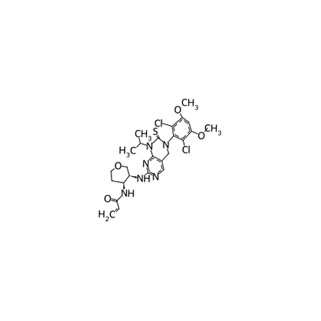 C=CC(=O)N[C@H]1CCOC[C@H]1Nc1ncc2c(n1)N(C(C)C)C(=S)N(c1c(Cl)c(OC)cc(OC)c1Cl)C2